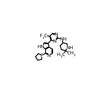 CC1(C)CCC(Nc2ncc(C(F)(F)F)c(-c3c[nH]c4c(P5CCCC5)nccc34)n2)CN1